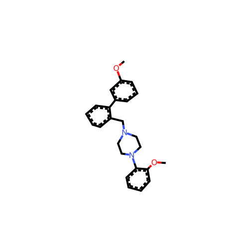 COc1cccc(-c2ccccc2CN2CCN(c3ccccc3OC)CC2)c1